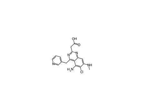 CNc1cc2nc(CC(=O)O)nc(Cc3cccnc3)c2c(N)c1Cl